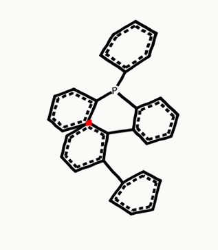 c1ccc(-c2ccccc2-c2ccccc2P(c2ccccc2)c2ccccc2)cc1